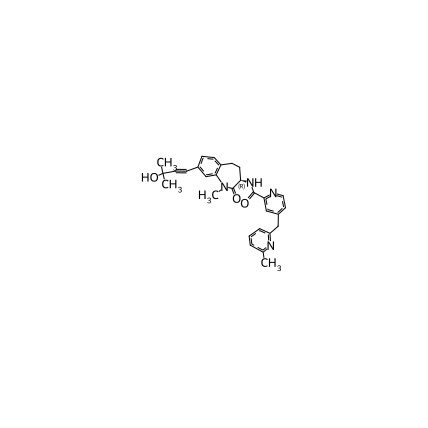 Cc1cccc(Cc2ccnc(C(=O)N[C@@H]3CCc4ccc(C#CC(C)(C)O)cc4N(C)C3=O)c2)n1